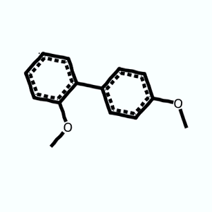 COc1ccc(-c2c[c]ccc2OC)cc1